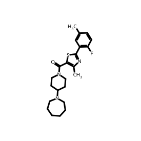 Cc1ccc(F)c(-c2nc(C)c(C(=O)N3CCC(N4CCCCCC4)CC3)s2)c1